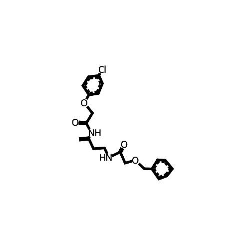 C=C(CCNC(=O)COCc1ccccc1)NC(=O)COc1ccc(Cl)cc1